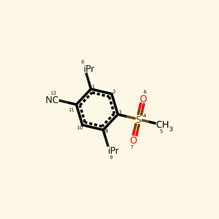 CC(C)c1cc(S(C)(=O)=O)c(C(C)C)cc1C#N